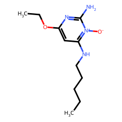 CCCCCNc1cc(OCC)nc(N)[n+]1[O-]